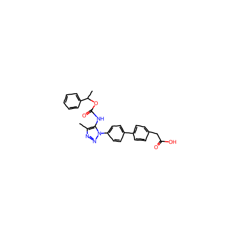 Cc1nnn(-c2ccc(-c3ccc(CC(=O)O)cc3)cc2)c1NC(=O)OC(C)c1ccccc1